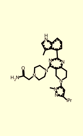 Cc1c[nH]c2cccc(-c3nc4c(c(N5CCN(CC(N)=O)CC5)n3)CN(c3cc(C(C)C)nn3C)CC4)c12